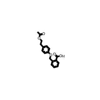 CC(=O)OCCc1ccc(OCc2ccccc2C(=O)O)cc1